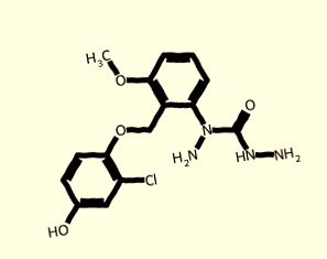 COc1cccc(N(N)C(=O)NN)c1COc1ccc(O)cc1Cl